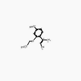 CCOC(=O)COc1cc(OC)ccc1C(C)=CC#N